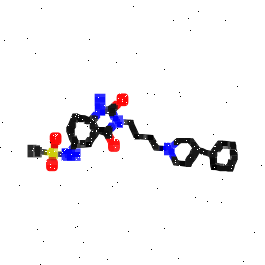 CCS(=O)(=O)Nc1ccc2[nH]c(=O)n(CCCCN3CC=C(c4ccccc4)CC3)c(=O)c2c1